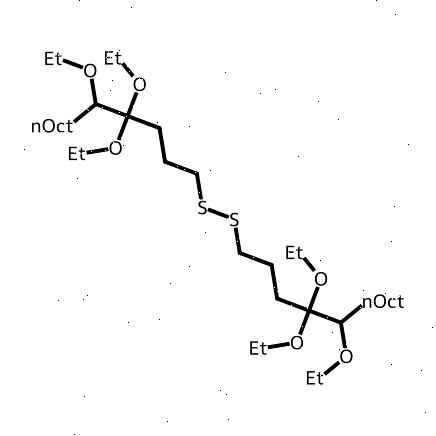 CCCCCCCCC(OCC)C(CCCSSCCCC(OCC)(OCC)C(CCCCCCCC)OCC)(OCC)OCC